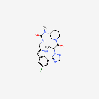 CC(C(=O)N1CCC[C@@H](N(C)C(=O)NCc2cc3cc(Cl)ccc3[nH]2)C1)n1cncn1